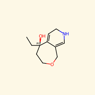 CC[C@@]1(O)CCOCC2=CNCC=C21